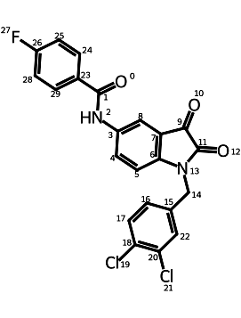 O=C(Nc1ccc2c(c1)C(=O)C(=O)N2Cc1ccc(Cl)c(Cl)c1)c1ccc(F)cc1